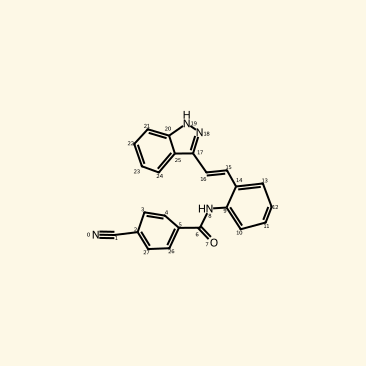 N#Cc1ccc(C(=O)Nc2ccccc2/C=C/c2n[nH]c3ccccc23)cc1